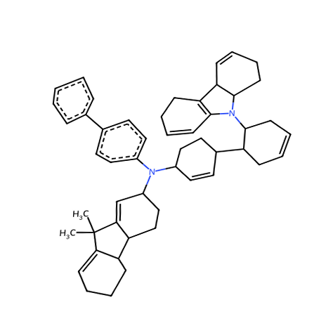 CC1(C)C2=CCCCC2C2CCC(N(c3ccc(-c4ccccc4)cc3)C3C=CC(C4CC=CCC4N4C5=C(CCC=C5)C5C=CCCC54)CC3)C=C21